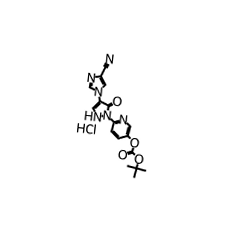 CC(C)(C)OC(=O)Oc1ccc(-n2[nH]cc(-n3cnc(C#N)c3)c2=O)nc1.Cl